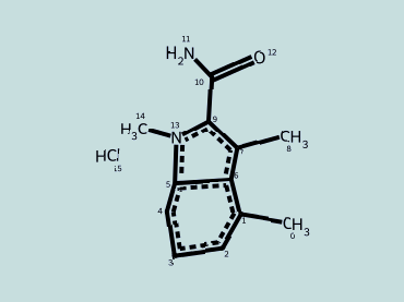 Cc1cccc2c1c(C)c(C(N)=O)n2C.Cl